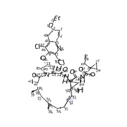 CCOc1ccc2nc(Cl)c(O[C@@H]3C[C@H]4C(=O)N[C@]5(C(=O)NS(=O)(=O)C6(CF)CC6)C[C@H]5/C=C\CC[C@@H](C)C[C@@H](C)C(I)C(=O)N4C3)c(Cl)c2c1